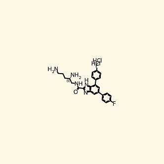 Cl.Cl.NCCC[C@H](N)CNC(=O)c1nc2cc(-c3ccc(F)cc3)cc(-c3ccc(F)cc3)c2[nH]1